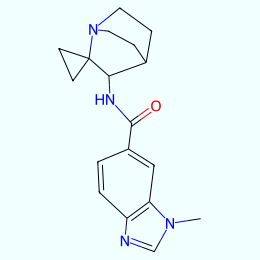 Cn1cnc2ccc(C(=O)NC3C4CCN(CC4)C34CC4)cc21